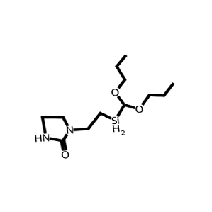 CCCOC(OCCC)[SiH2]CCN1CCNC1=O